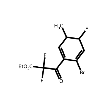 CCOC(=O)C(F)(F)C(=O)C1=CC(C)C(F)C=C1Br